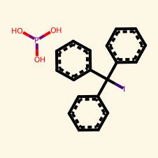 IC(c1ccccc1)(c1ccccc1)c1ccccc1.OP(O)O